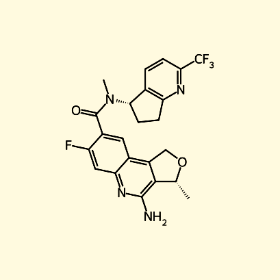 C[C@H]1OCc2c1c(N)nc1cc(F)c(C(=O)N(C)[C@H]3CCc4nc(C(F)(F)F)ccc43)cc21